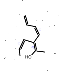 C=C\C=C/C(/C=C\C)=C(\C)O